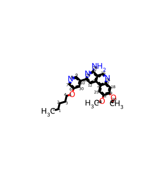 CCCCCOc1cncc(-c2cc3c(cnc4cc(OC)c(OC)cc43)c(N)n2)c1